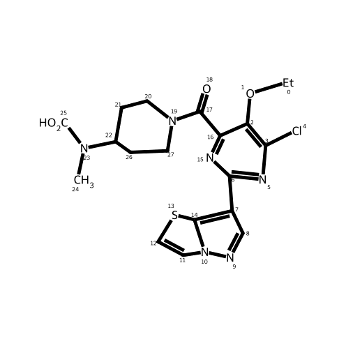 CCOc1c(Cl)nc(-c2cnn3ccsc23)nc1C(=O)N1CCC(N(C)C(=O)O)CC1